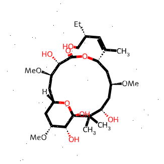 CC[C@H](/C=C(/C)[C@@H]1C[C@@H](OC)C[C@H](O)C(C)(C)[C@@]2(O)O[C@@H](C[C@@H](OC)[C@H](O)C(=O)O1)C[C@@H](OC)[C@H]2O)CO